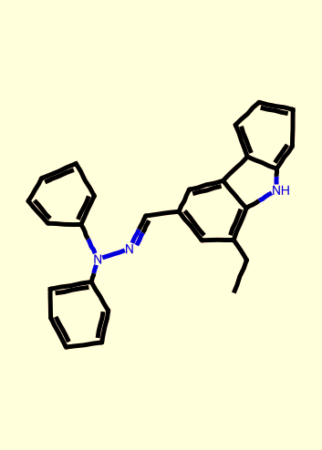 CCc1cc(/C=N/N(c2ccccc2)c2ccccc2)cc2c1[nH]c1ccccc12